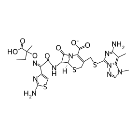 CCC(C)(O/N=C(\C(=O)NC1C(=O)N2C(C(=O)[O-])=C(CSc3nc(N)c(C)c4n(C)cn[n+]34)CS[C@@H]12)c1csc(N)n1)C(=O)O